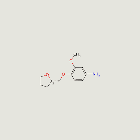 COc1cc(N)ccc1OC[C@@H]1CCCO1